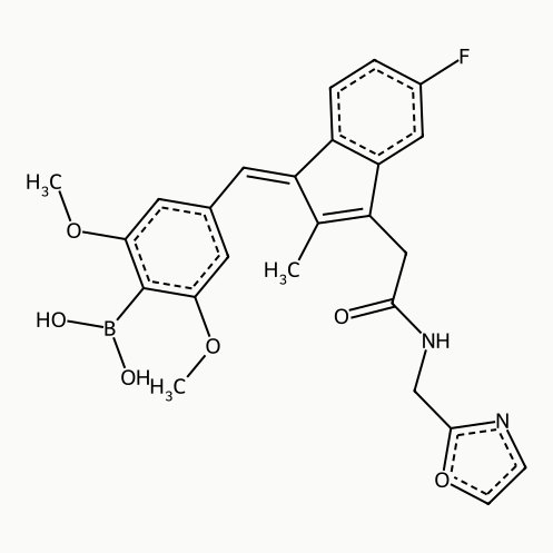 COc1cc(C=C2C(C)=C(CC(=O)NCc3ncco3)c3cc(F)ccc32)cc(OC)c1B(O)O